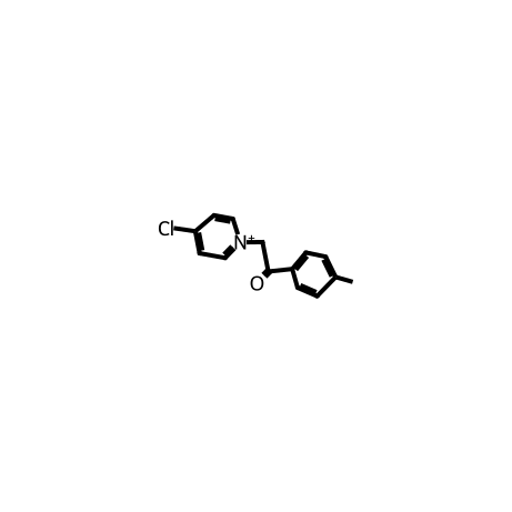 Cc1ccc(C(=O)C[n+]2ccc(Cl)cc2)cc1